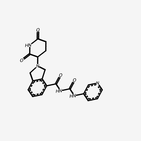 O=C1CCC(N2Cc3cccc(C(=O)NC(=O)Nc4cccnc4)c3C2)C(=O)N1